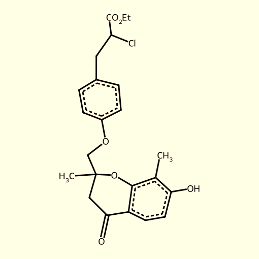 CCOC(=O)C(Cl)Cc1ccc(OCC2(C)CC(=O)c3ccc(O)c(C)c3O2)cc1